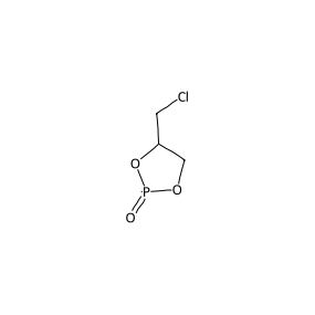 O=[P]1OCC(CCl)O1